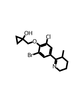 CC1CCCN=C1c1cc(Cl)c(OCC2(O)CC2)c(Br)c1